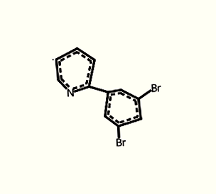 Brc1cc(Br)cc(-c2cc[c]cn2)c1